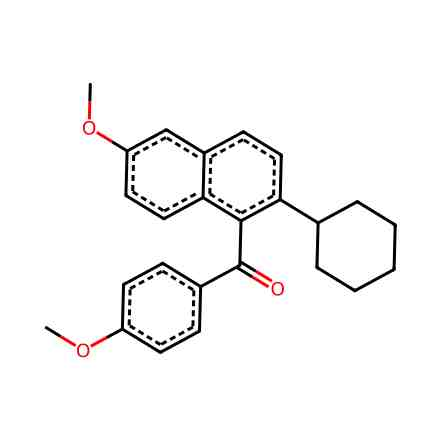 COc1ccc(C(=O)c2c(C3CCCCC3)ccc3cc(OC)ccc23)cc1